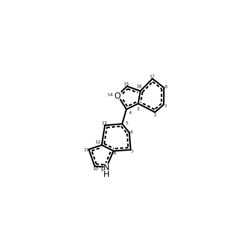 c1ccc2c(-c3ccc4[nH]ccc4c3)occ2c1